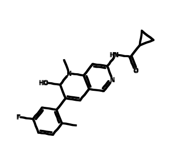 Cc1ccc(F)cc1C1=Cc2cnc(NC(=O)C3CC3)cc2N(C)C1O